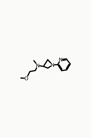 COCCN(C)C1CN(c2ccccn2)C1